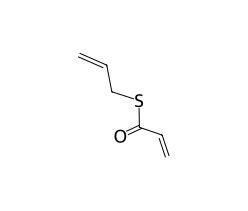 C=CCSC(=O)C=C